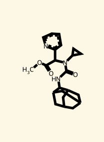 COC(=O)C(c1ccccn1)N(C(=O)NC1C2CC3CC(C2)CC1C3)C1CC1